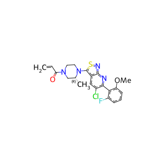 C=CC(=O)N1CCN(c2snc3nc(-c4c(F)cccc4OC)c(Cl)cc23)[C@H](C)C1